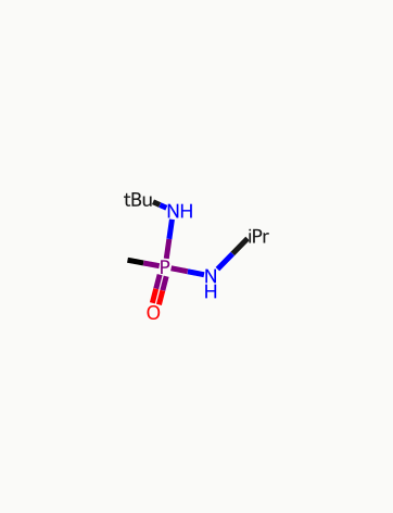 CC(C)NP(C)(=O)NC(C)(C)C